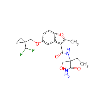 CCC(CO)(NC(=O)c1c(C)oc2ccc(OCC3(C(F)F)CC3)cc12)C(N)=O